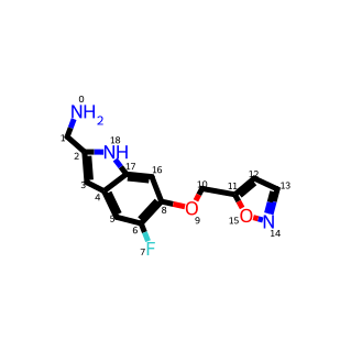 NCc1cc2cc(F)c(OCc3ccno3)cc2[nH]1